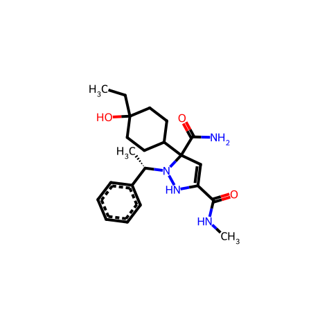 CCC1(O)CCC(C2(C(N)=O)C=C(C(=O)NC)NN2[C@@H](C)c2ccccc2)CC1